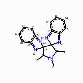 CC1N(C)C(C)C2(N=c3ccccc3=N2)C12N=c1ccccc1=N2